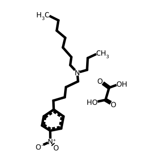 CCCCCCCN(CCC)CCCCc1ccc([N+](=O)[O-])cc1.O=C(O)C(=O)O